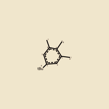 [CH]c1cc(C(C)(C)C)cc(C)c1[CH]